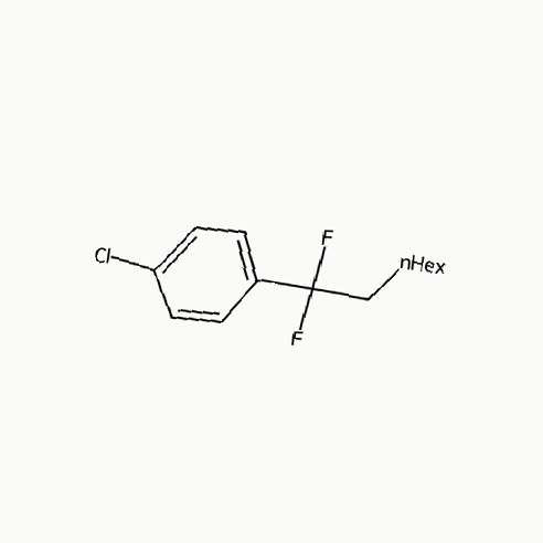 CCCCCCCC(F)(F)c1ccc(Cl)cc1